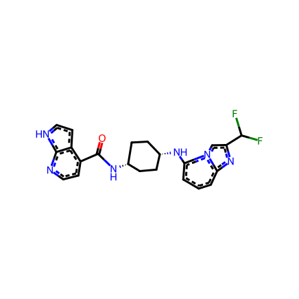 O=C(N[C@H]1CC[C@@H](Nc2cccc3nc(C(F)F)cn23)CC1)c1ccnc2[nH]ccc12